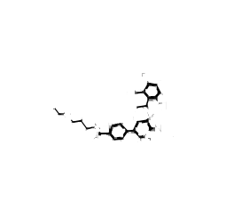 CCOCCCNC(=O)c1ccc(-c2cnc(N)c(OC(C)c3c(Cl)ccc(F)c3Cl)c2)cc1